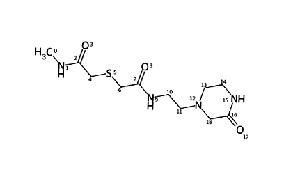 CNC(=O)CSCC(=O)NCCN1CCNC(=O)C1